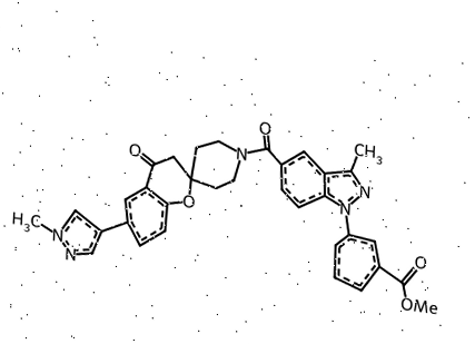 COC(=O)c1cccc(-n2nc(C)c3cc(C(=O)N4CCC5(CC4)CC(=O)c4cc(-c6cnn(C)c6)ccc4O5)ccc32)c1